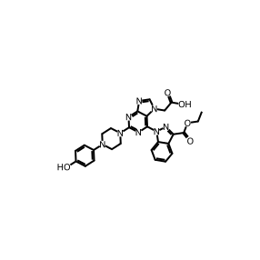 CCOC(=O)c1nn(-c2nc(N3CCN(c4ccc(O)cc4)CC3)nc3ncn(CC(=O)O)c23)c2ccccc12